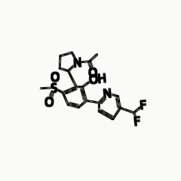 CC(=O)N1CCCC1c1c(S(C)(=O)=O)ccc(-c2ccc(C(F)F)cn2)c1O